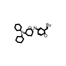 C1CCC(P(C2CCCCC2)C2CCCCC2)CC1.O=C1C=CC([N+](=O)[O-])=CC1[CH]=[Ru]